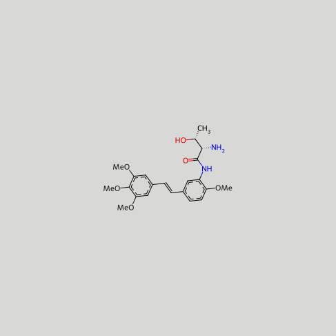 COc1ccc(C=Cc2cc(OC)c(OC)c(OC)c2)cc1NC(=O)[C@@H](N)[C@@H](C)O